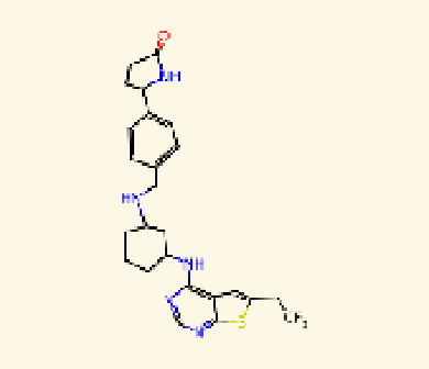 O=C1CCC(c2ccc(CNC3CCCC(Nc4ncnc5sc(CC(F)(F)F)cc45)C3)cc2)N1